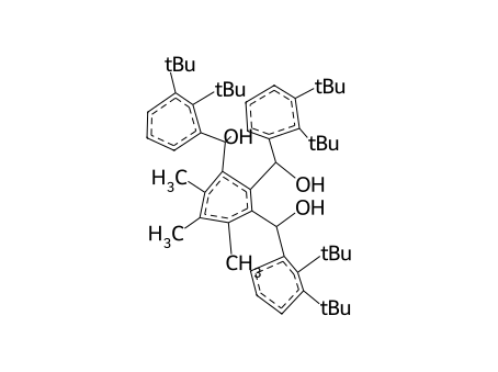 Cc1c(C)c(C(O)c2cccc(C(C)(C)C)c2C(C)(C)C)c(C(O)c2cccc(C(C)(C)C)c2C(C)(C)C)c(C(O)c2cccc(C(C)(C)C)c2C(C)(C)C)c1C